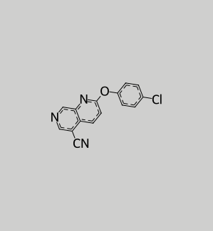 N#Cc1cncc2nc(Oc3ccc(Cl)cc3)ccc12